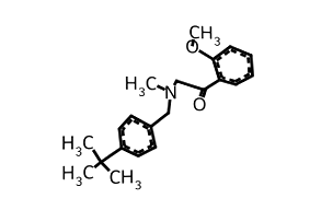 COc1ccccc1C(=O)CN(C)Cc1ccc(C(C)(C)C)cc1